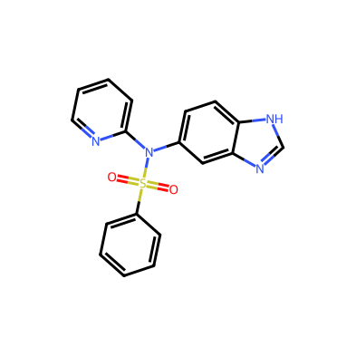 O=S(=O)(c1ccccc1)N(c1ccc2[nH]cnc2c1)c1ccccn1